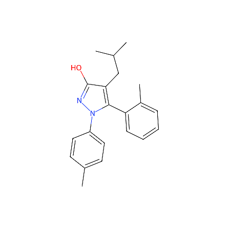 Cc1ccc(-n2nc(O)c(CC(C)C)c2-c2ccccc2C)cc1